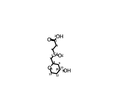 O=C(O)CC[S+]([O-])CC1C[C@H](O)CCO1